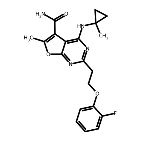 Cc1oc2nc(CCOc3ccccc3F)nc(NC3(C)CC3)c2c1C(N)=O